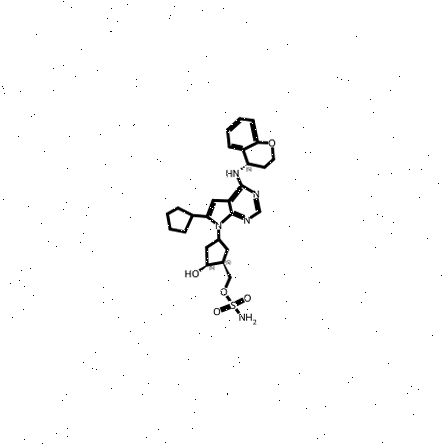 NS(=O)(=O)OC[C@@H]1CC(n2c(C3CCCC3)cc3c(N[C@H]4CCOc5ccccc54)ncnc32)C[C@@H]1O